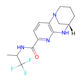 CC(NC(=O)c1ccc2c(n1)N[C@H]1CCCN2C1)C(F)(F)F